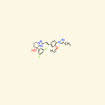 COc1cc(C=Cc2nc3n(n2)CCCC3(O)c2cc(F)cc(F)c2)ccc1-n1cnc(C)c1